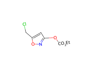 CCOC(=O)Oc1cc(CCl)on1